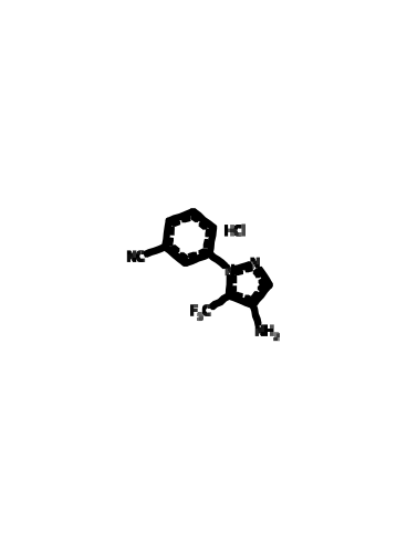 Cl.N#Cc1cccc(-n2ncc(N)c2C(F)(F)F)c1